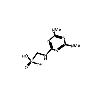 CNc1nc(NC)nc(NCP(=O)(O)O)n1